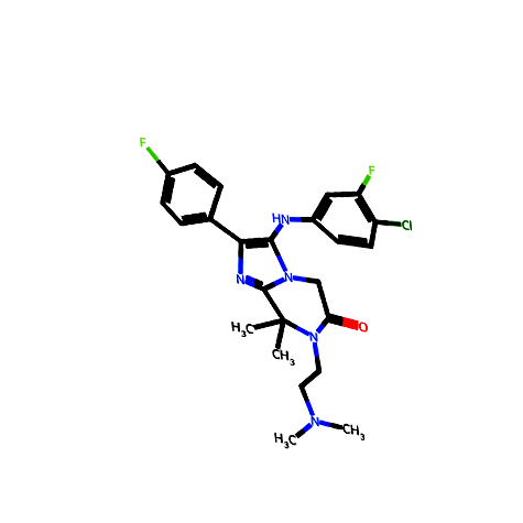 CN(C)CCN1C(=O)Cn2c(nc(-c3ccc(F)cc3)c2Nc2ccc(Cl)c(F)c2)C1(C)C